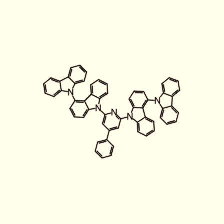 c1ccc(-c2cc(-n3c4ccccc4c4c(-n5c6ccccc6c6ccccc65)cccc43)nc(-n3c4ccccc4c4c(-n5c6ccccc6c6ccccc65)cccc43)c2)cc1